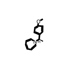 COc1ccc([C@@H](C)N2C=CC=CC=C2)cc1